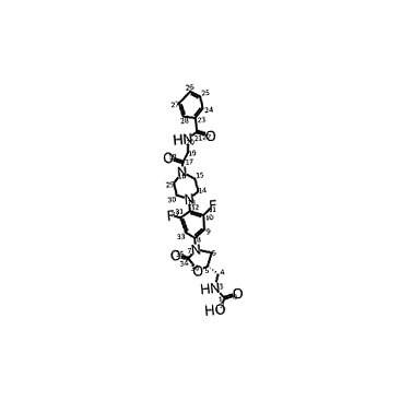 O=C(O)NC[C@H]1CN(c2cc(F)c(N3CCN(C(=O)CNC(=O)c4ccccc4)CC3)c(F)c2)C(=O)O1